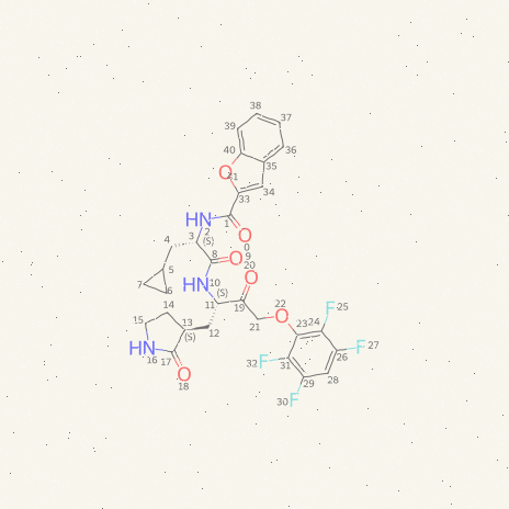 O=C(N[C@@H](CC1CC1)C(=O)N[C@@H](C[C@@H]1CCNC1=O)C(=O)COc1c(F)c(F)cc(F)c1F)c1cc2ccccc2o1